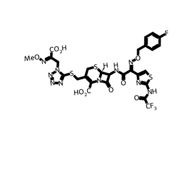 CON=C(Cn1nnnc1SCC1=C(C(=O)O)N2C(=O)C(NC(=O)C(=NOCc3ccc(F)cc3)c3csc(NC(=O)C(F)(F)F)n3)[C@@H]2SC1)C(=O)O